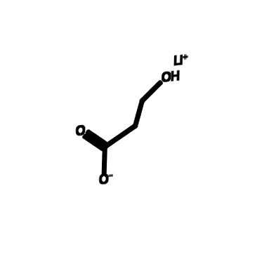 O=C([O-])CCO.[Li+]